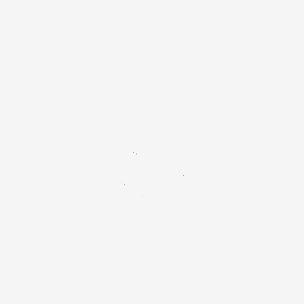 Clc1nc2cccnc2n1Cc1ccccc1